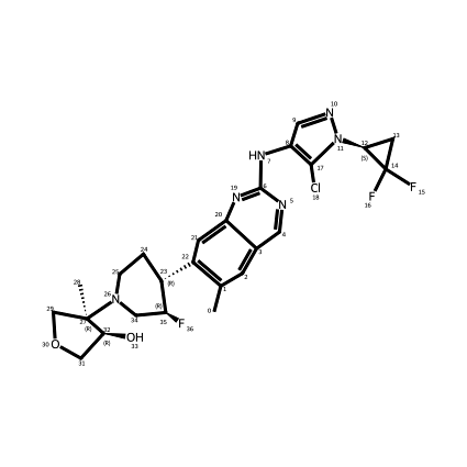 Cc1cc2cnc(Nc3cnn([C@H]4CC4(F)F)c3Cl)nc2cc1[C@H]1CCN([C@]2(C)COC[C@@H]2O)C[C@@H]1F